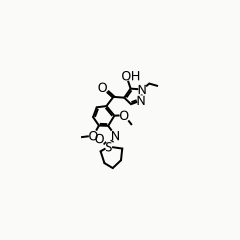 CCn1ncc(C(=O)c2ccc(OC)c(N=S3(=O)CCCCC3)c2OC)c1O